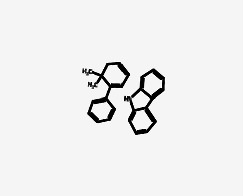 CC1(C)CC=CC=C1c1ccccc1.c1ccc2c(c1)[nH]c1ccccc12